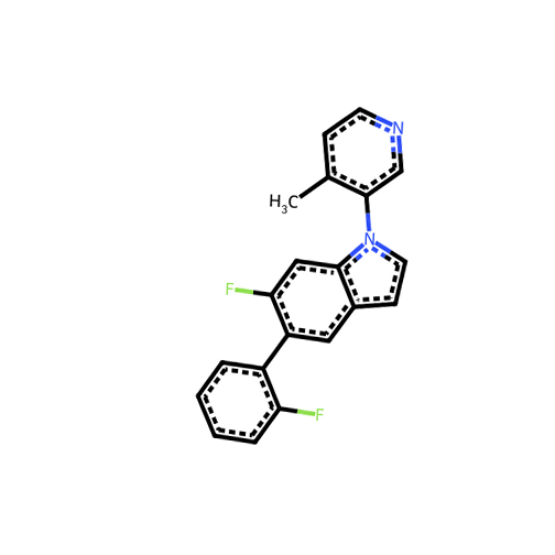 Cc1ccncc1-n1ccc2cc(-c3ccccc3F)c(F)cc21